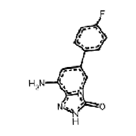 Nc1cc(-c2ccc(F)cc2)cn2c(=O)[nH]nc12